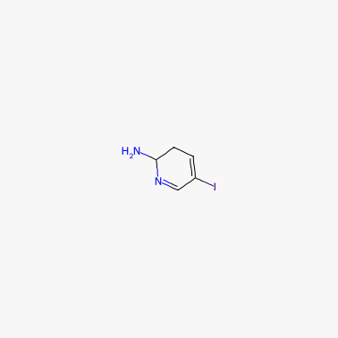 NC1CC=C(I)C=N1